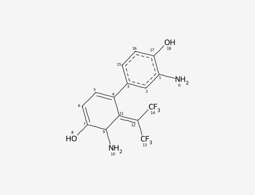 Nc1cc(C2=CC=C(O)C(N)C2=C(C(F)(F)F)C(F)(F)F)ccc1O